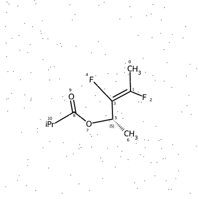 CC(F)=C(F)[C@H](C)OC(=O)C(C)C